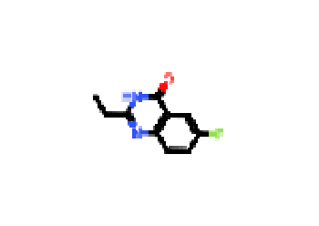 CCc1nc2ccc(F)cc2c(=O)[nH]1